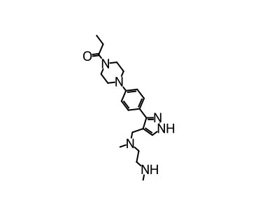 CCC(=O)N1CCN(c2ccc(-c3n[nH]cc3CN(C)CCNC)cc2)CC1